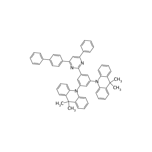 CC1(C)c2ccccc2N(c2cc(-c3nc(-c4ccccc4)cc(-c4ccc(-c5ccccc5)cc4)n3)cc(N3c4ccccc4C(C)(C)c4ccccc43)c2)c2ccccc21